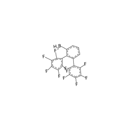 Bc1cccc(-c2c(F)c(F)c(F)c(F)c2F)c1-c1c(F)c(F)c(F)c(F)c1F